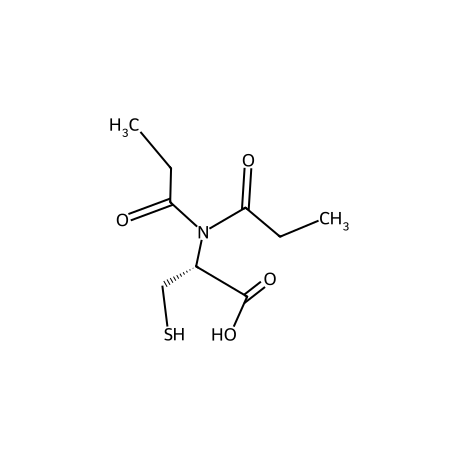 CCC(=O)N(C(=O)CC)[C@@H](CS)C(=O)O